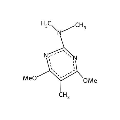 COc1nc(N(C)C)nc(OC)c1C